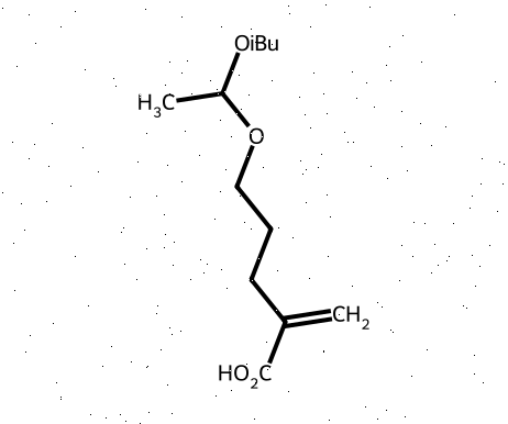 C=C(CCCOC(C)OCC(C)C)C(=O)O